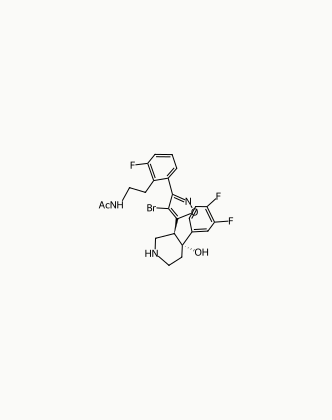 CC(=O)NCCc1c(F)cccc1-c1noc([C@@H]2CNCC[C@]2(O)c2ccc(F)c(F)c2)c1Br